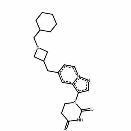 O=C1CCN(c2cnn3ccc(CC4CN(CC5CCCCC5)C4)cc23)C(=O)N1